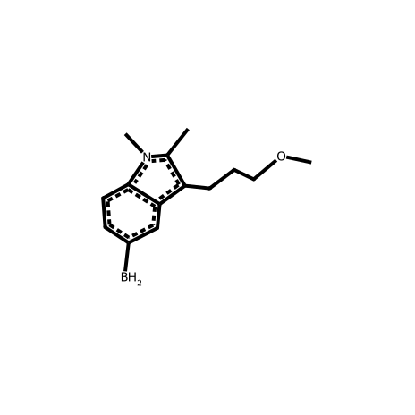 Bc1ccc2c(c1)c(CCCOC)c(C)n2C